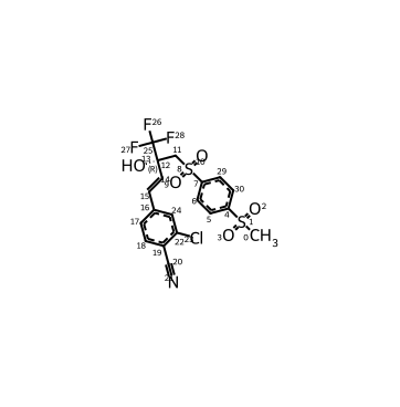 CS(=O)(=O)c1ccc(S(=O)(=O)C[C@@](O)(C=Cc2ccc(C#N)c(Cl)c2)C(F)(F)F)cc1